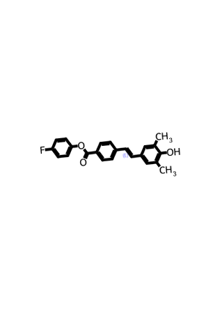 Cc1cc(/C=C/c2ccc(C(=O)Oc3ccc(F)cc3)cc2)cc(C)c1O